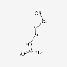 O=NOCCOC(=O)I